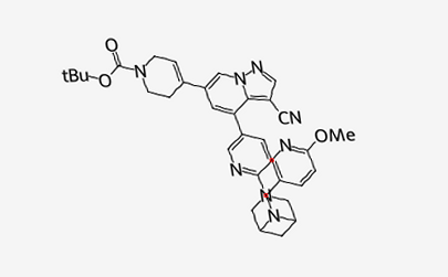 COc1ccc(CN2C3CC2CN(c2ccc(-c4cc(C5=CCN(C(=O)OC(C)(C)C)CC5)cn5ncc(C#N)c45)cn2)C3)cn1